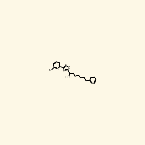 OC(CCCCCCc1ccccc1)c1nc(-c2cccc(Br)n2)no1